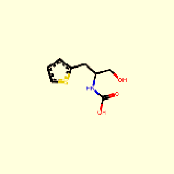 O=C(O)NC(CO)Cc1cccs1